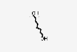 C[C@H](O)[C@H](C)CCCCCCO